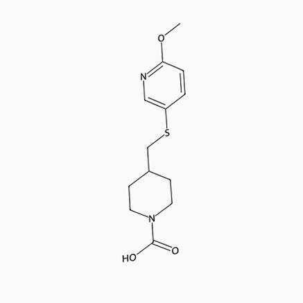 COc1ccc(SCC2CCN(C(=O)O)CC2)cn1